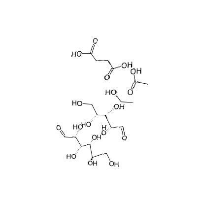 CC(=O)O.CCO.O=C(O)CCC(=O)O.O=C[C@H](O)[C@@H](O)[C@H](O)CO.O=C[C@H](O)[C@@H](O)[C@H](O)[C@H](O)CO